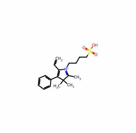 C=CC1=C(c2ccccc2)C(C)(C)C(C)=[N+]1CCCCS(=O)(=O)O